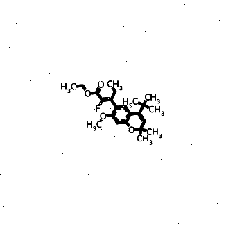 CCOC(=O)C(F)=C(CC)c1cc2c(cc1OC)OC(C)(C)C=C2C(C)(C)C